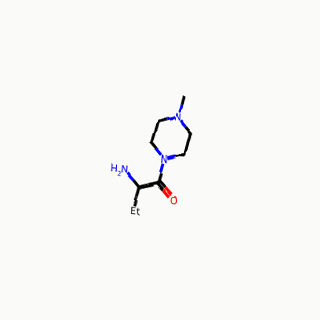 CCC(N)C(=O)N1CCN(C)CC1